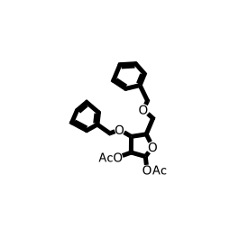 CC(=O)OC1OC(COCc2ccccc2)C(OCc2ccccc2)C1OC(C)=O